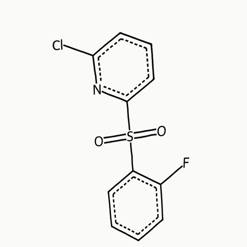 O=S(=O)(c1cccc(Cl)n1)c1ccccc1F